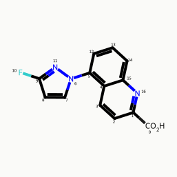 O=C(O)c1ccc2c(-n3ccc(F)n3)cccc2n1